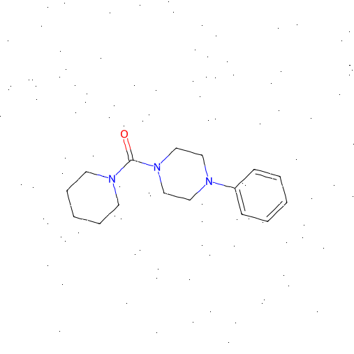 O=C(N1CCCCC1)N1CCN(c2ccccc2)CC1